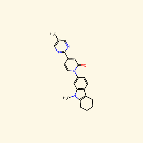 Cc1cnc(-c2ccn(-c3ccc4c5c(n(C)c4c3)CCCC5)c(=O)c2)nc1